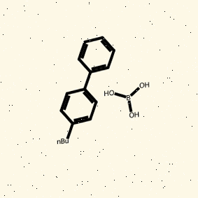 CCCCc1ccc(-c2ccccc2)cc1.OB(O)O